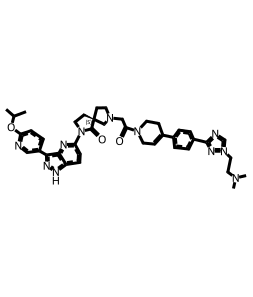 CC(C)Oc1ccc(-c2n[nH]c3ccc(N4CC[C@]5(CCN(CC(=O)N6CC=C(c7ccc(-c8ncn(CCN(C)C)n8)cc7)CC6)C5)C4=O)nc23)cn1